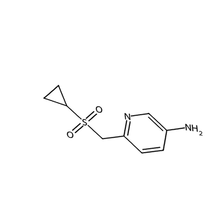 Nc1ccc(CS(=O)(=O)C2CC2)nc1